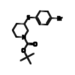 CC(C)(C)OC(=O)N1CCCC(SC2=CC=C(Br)CC2)C1